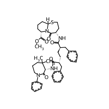 COC(=O)[C@@H]1CCC[C@@H]2SCC[C@H](NC(=O)[C@H](CC[C@H](Cc3ccccc3)C(=O)N[C@@H]3C(=O)N(c4ccccc4)CCCC3(C)C)Cc3ccccc3)C(=O)N21